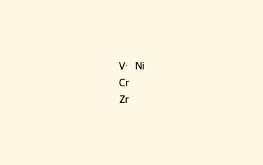 [Cr].[Ni].[V].[Zr]